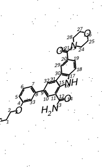 CCCOc1cccc(-c2cc(C(N)=O)c3[nH]c4ccc(C(=O)N5CCOCC5)cc4c3c2)c1